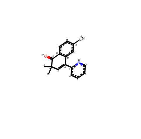 CC1(C)C=C(c2ccccn2)c2cc(C#N)ccc2C1=O